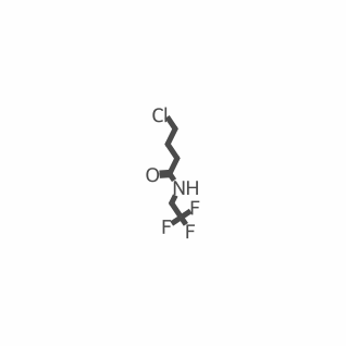 O=C(CCCCl)NCC(F)(F)F